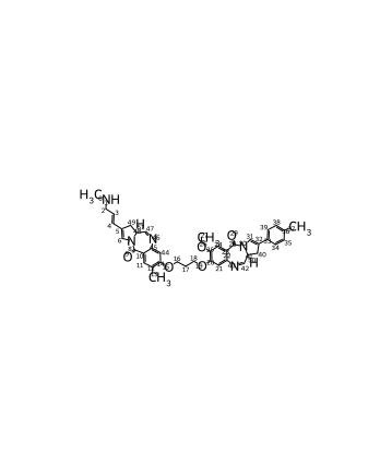 CNC/C=C/C1=CN2C(=O)c3cc(C)c(OCCCOc4cc5c(cc4OC)C(=O)N4C=C(c6ccc(C)cc6)C[C@H]4C=N5)cc3N=C[C@@H]2C1